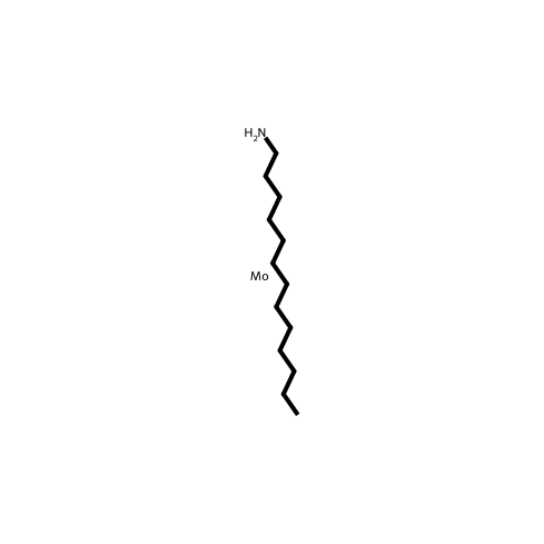 CCCCCCCCCCCCCN.[Mo]